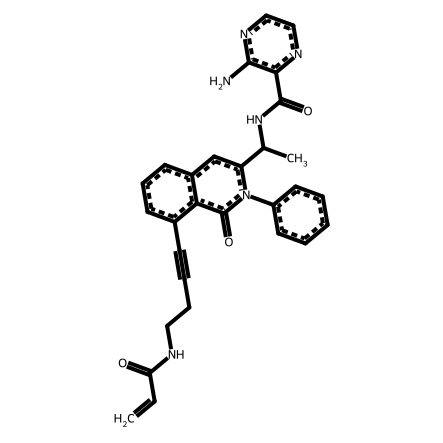 C=CC(=O)NCCC#Cc1cccc2cc(C(C)NC(=O)c3nccnc3N)n(-c3ccccc3)c(=O)c12